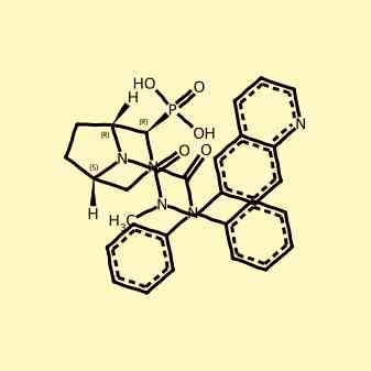 CN(Cc1ccc2ncccc2c1)C(=O)N1[C@H]2CC[C@@H]1[C@@H](P(=O)(O)O)N(C(=O)N(c1ccccc1)c1ccccc1)C2